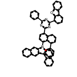 c1ccc(-c2nc(-c3ccc(-n4c5cc6ccccc6cc5c5c6ccccc6ccc54)c4c(-c5ccccc5)cccc34)nc(-c3cccc4c3oc3ccccc34)n2)cc1